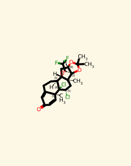 CC1(C)O[C@@H]2C[C@H]3[C@@H]4CCC5=CC(=O)C=C[C@]5(C)[C@@]4(Cl)[C@@H](Cl)C[C@]3(C)[C@]2(C(=O)C(F)F)O1